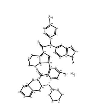 Cl.Cn1ncc2cc(N(C(=O)c3cc(-c4cc(Cl)ccc4C(=O)N4Cc5ccccc5C[C@H]4CN4CCOCC4)n4c3COCC4)c3ccc(O)cc3)ccc21